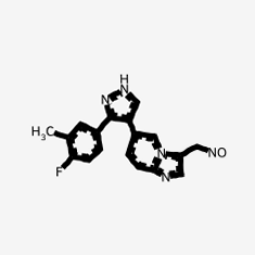 Cc1cc(-c2n[nH]cc2-c2ccc3ncc(CN=O)n3c2)ccc1F